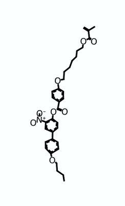 C=C(C)C(=O)OCCCCCCCOc1ccc(C(=O)Oc2ccc(-c3ccc(OCCCC)cc3)cc2[N+](=O)[O-])cc1